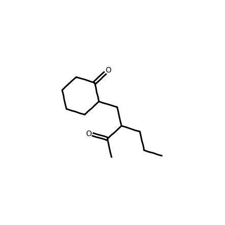 CCCC(CC1CCCCC1=O)C(C)=O